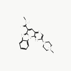 CNC(=O)c1cc2ncc(N3CCN(C)CC3)nc2n2c1nc1ccccc12